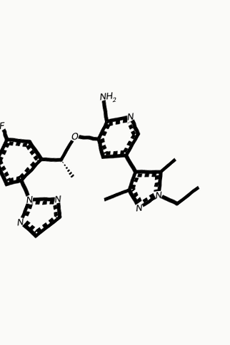 CCn1nc(C)c(-c2cnc(N)c(O[C@H](C)c3cc(F)ccc3-n3nccn3)c2)c1C